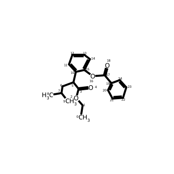 CCOC(=O)C(CC(C)C)c1ccccc1OC(=O)c1ccccc1